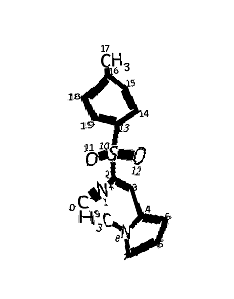 [C-]#[N+]C(=Cc1cccn1C)S(=O)(=O)c1ccc(C)cc1